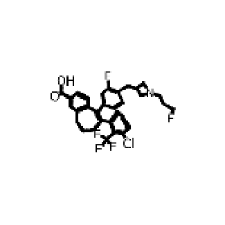 O=C(O)c1ccc2c(c1)CCCC(c1cccc(Cl)c1C(F)(F)F)=C2c1ccc(CC2CN(CCCF)C2)c(F)c1